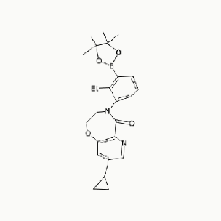 CCc1c(B2OC(C)(C)C(C)(C)O2)cccc1N1CCOc2cc(C3CC3)cnc2C1=O